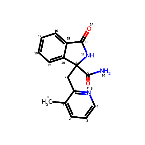 Cc1cccnc1CC1(C(N)=O)NC(=O)c2ccccc21